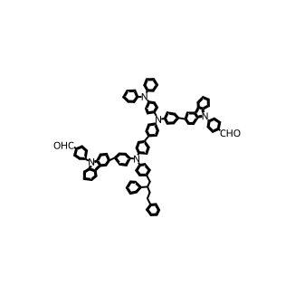 O=Cc1ccc(-n2c3ccccc3c3cc(-c4ccc(N(c5ccc(CC(CCc6ccccc6)c6ccccc6)cc5)c5ccc(-c6ccc(N(c7ccc(-c8ccc9c(c8)c8ccccc8n9-c8ccc(C=O)cc8)cc7)c7ccc(N(c8ccccc8)c8ccccc8)cc7)cc6)cc5)cc4)ccc32)cc1